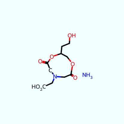 N.O=C(O)CN1CC(=O)OCC(CCO)OC(=O)C1